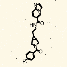 O=C(NCCC1C2CN(C(=O)c3ccc(F)cc3)CC12)c1ccc2nccn2c1